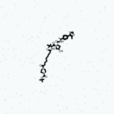 Cc1ncsc1-c1ccc([C@H](C)NC(=O)[C@@H]2C[C@@H](O)CN2C(=O)[C@@H](NC(=O)CCCCCCCC(=O)N2CCN(C(=O)OC(C)(C)C)CC2)C(C)(C)C)cc1